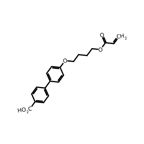 C=CC(=O)OCCCCOc1ccc(-c2ccc(C(=O)O)cc2)cc1